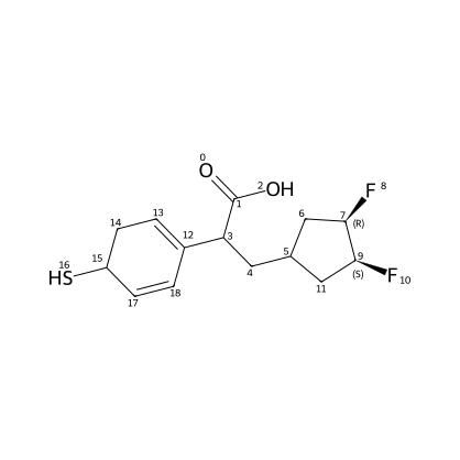 O=C(O)C(CC1C[C@@H](F)[C@@H](F)C1)C1=CCC(S)C=C1